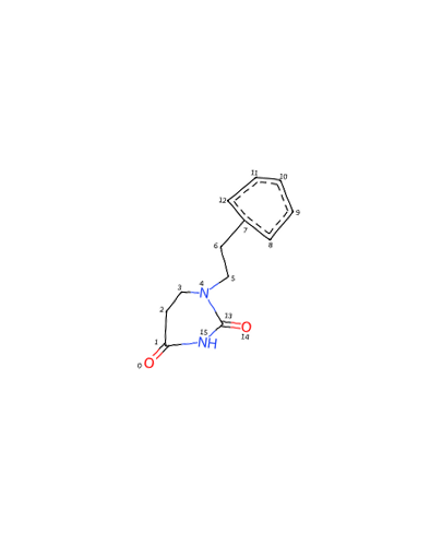 O=C1CCN(CCc2ccccc2)C(=O)N1